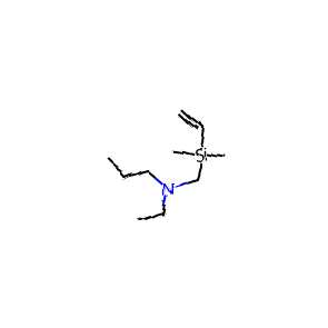 C=C[Si](C)(C)CN(CC)CCC